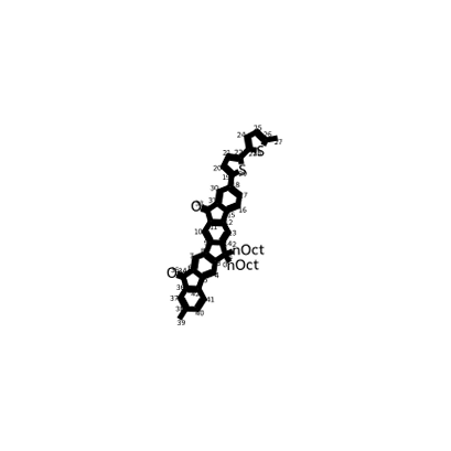 CCCCCCCCC1(CCCCCCCC)c2cc3c(cc2-c2cc4c(cc21)-c1ccc(-c2ccc(-c5ccc(C)s5)s2)cc1C4=O)C(=O)c1cc(C)ccc1-3